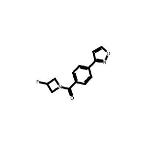 O=C(c1ccc(-c2ccon2)cc1)N1CC(F)C1